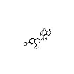 CC(Cc1ccc(Cl)cc1CO)Nc1ncnc2sccc12